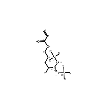 C=CC(=O)OCCCC(C)[SiH](O[Si](C)(C)C)O[Si](C)(C)C